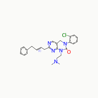 CN(C)CCN1C(=O)N(c2ccccc2Cl)Cc2cnc(C/C=C/Cc3ccccc3)nc21